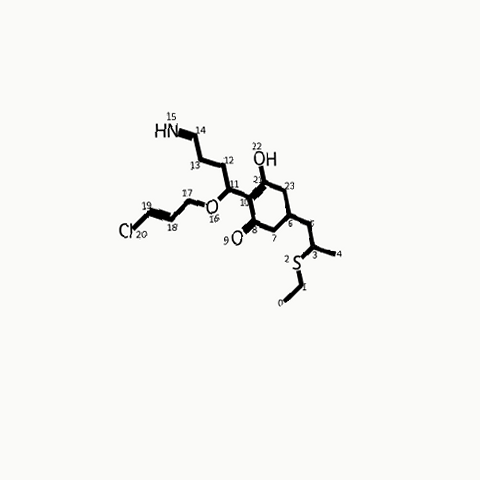 CCSC(C)CC1CC(=O)C(C(CCC=N)OCC=CCl)=C(O)C1